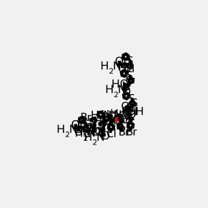 CC(c1ccc(Br)cc1)N(O)C(N)=O.CC(c1ccc(Br)s1)N(O)C(N)=O.CC(c1ccc(Cl)cc1)N(O)C(N)=O.CNC(=O)N(O)c1csc(Sc2ccccc2)c1.NC(=O)N(O)Cc1cc(Sc2ccccc2)cs1.NC(=O)N(O)Cc1ccc(Br)s1.NC(=O)N(O)Cc1ccc(Sc2ccccc2)s1.NC(=O)N(O)Cc1ccsc1Sc1ccccc1.NC(=O)N(O)Cc1sccc1Sc1ccccc1